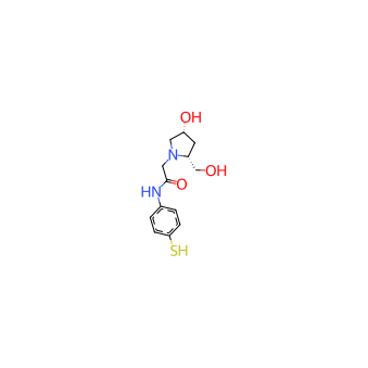 O=C(CN1C[C@H](O)C[C@@H]1CO)Nc1ccc(S)cc1